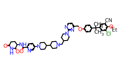 CCOc1c(Cl)cc(C(C)(C)c2ccc(OCc3ccnc(N4CCC(CN5CCC(C6CCN(c7ccc(C(=O)NC8CCC(=O)NC8=O)nc7)CC6)CC5)CC4)n3)cc2)cc1C#N